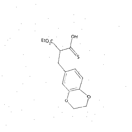 CCOC(=O)C(Cc1ccc2c(c1)OCCO2)C(O)=S